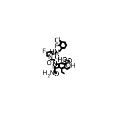 CCc1c(P(=O)(O)O)cc2c(c(C(N)=O)nn2CC(=O)N2C[C@H](F)C[C@H]2C(=O)NCc2cccc(Cl)c2F)c1CC